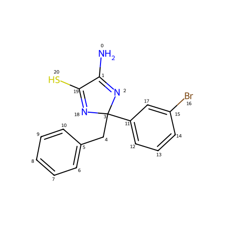 NC1=NC(Cc2ccccc2)(c2cccc(Br)c2)N=C1S